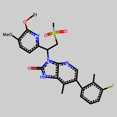 CCOc1nc(C(CS(C)(=O)=O)n2c(=O)[nH]c3c(C)c(-c4cccc(F)c4C)cnc32)ccc1OC